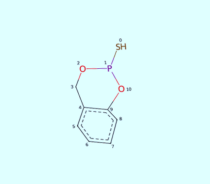 SP1OCc2ccccc2O1